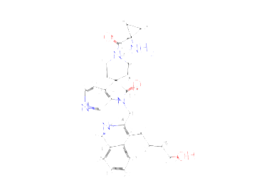 NC1(C(=O)N2CCC3(CC2)C(=O)N(Cc2ncc4ccccc4c2CCCCO)c2cnccc23)CC1